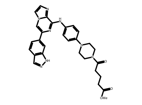 COC(=O)CCCC(=O)N1CCN(c2ccc(Nc3nc(-c4ccc5cn[nH]c5c4)cn4ccnc34)cc2)CC1